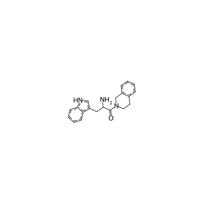 NC(Cc1c[nH]c2ccccc12)C(=O)N1CCc2ccccc2C1